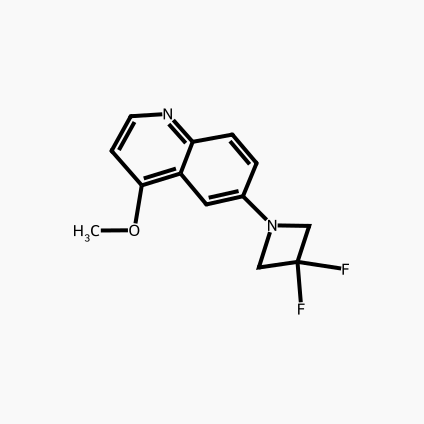 COc1ccnc2ccc(N3CC(F)(F)C3)cc12